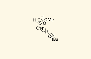 COC(=O)N[C@]1(C)C[C@H](C(=O)N2CCC3(CC2)CC(c2cnc(C(C)(C)C)o2)C3)C1